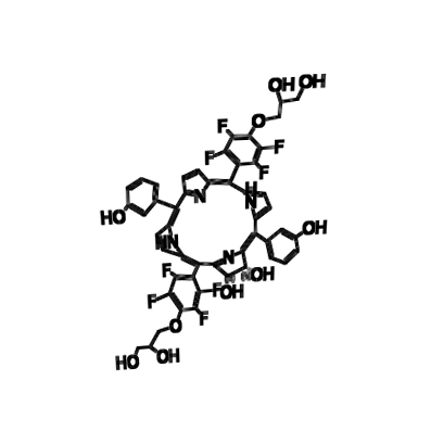 OCC(O)COc1c(F)c(F)c(-c2c3nc(c(-c4cccc(O)c4)c4ccc([nH]4)c(-c4c(F)c(F)c(OCC(O)CO)c(F)c4F)c4nc(c(-c5cccc(O)c5)c5ccc2[nH]5)[C@H](O)[C@@H]4O)C=C3)c(F)c1F